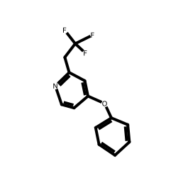 FC(F)(F)Cc1cc(Oc2ccccc2)ccn1